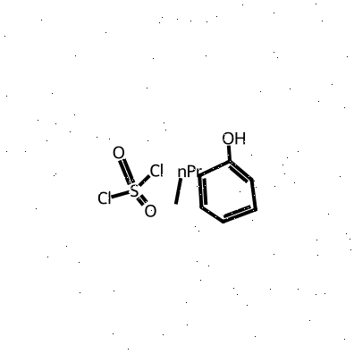 CCCC.O=S(=O)(Cl)Cl.Oc1ccccc1